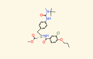 CCCOc1ccc(C(=O)N[C@H](CC(=O)OC)Cc2ccc(NC(=O)N(C)C(C)(C)C)cc2)cc1Cl